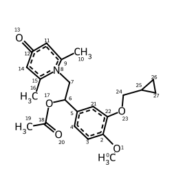 COc1ccc(C(Cn2c(C)cc(=O)cc2C)OC(C)=O)cc1OCC1CC1